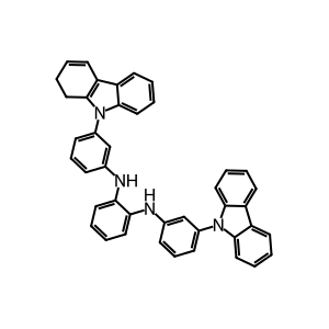 C1=Cc2c(n(-c3cccc(Nc4ccccc4Nc4cccc(-n5c6ccccc6c6ccccc65)c4)c3)c3ccccc23)CC1